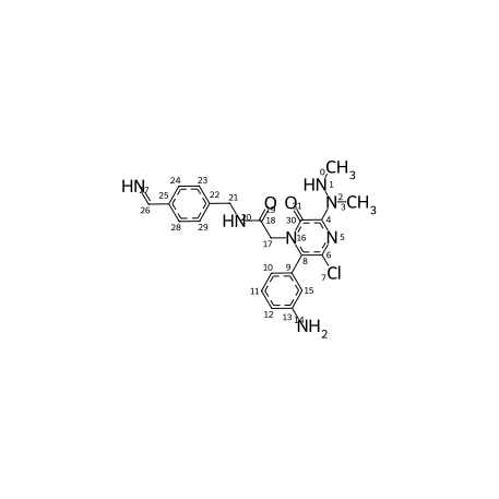 CNN(C)c1nc(Cl)c(-c2cccc(N)c2)n(CC(=O)NCc2ccc(C=N)cc2)c1=O